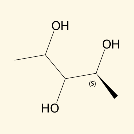 CC(O)C(O)[C@H](C)O